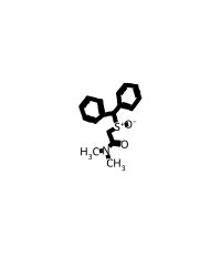 CN(C)C(=O)C[S+]([O-])C(c1ccccc1)c1ccccc1